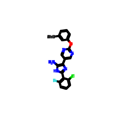 COc1cccc(Oc2ncc(-c3nc(-c4c(F)cccc4Cl)[nH]c3N)cn2)c1